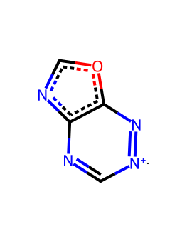 C1=Nc2ncoc2N=[N+]1